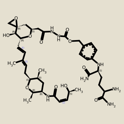 CC(/C=C/[C@H]1O[C@H](CC(=O)NNC(=O)OCc2ccc(N[C@@H](CCC(N)C(N)=O)C(N)=O)cc2)C[C@@]2(CO2)[C@@H]1O)=C\C[C@@H]1O[C@H](C)[C@H](NC(=O)/C=C\[C@H](C)O)C[C@@H]1C